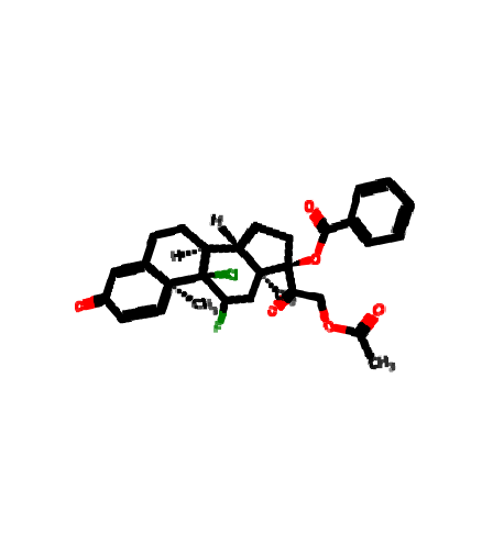 CC(=O)OCC(=O)[C@@]1(OC(=O)c2ccccc2)CC[C@H]2[C@@H]3CCC4=CC(=O)C=C[C@]4(C)[C@@]3(Cl)C(F)C[C@@]21C